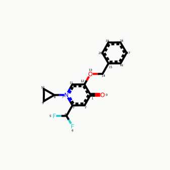 O=c1cc(C(F)F)n(C2CC2)cc1OCc1ccccc1